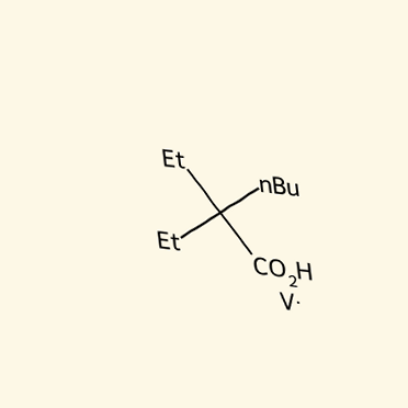 CCCCC(CC)(CC)C(=O)O.[V]